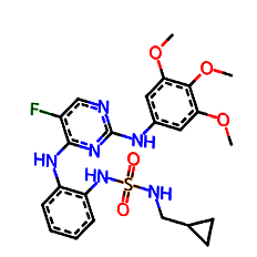 COc1cc(Nc2ncc(F)c(Nc3ccccc3NS(=O)(=O)NCC3CC3)n2)cc(OC)c1OC